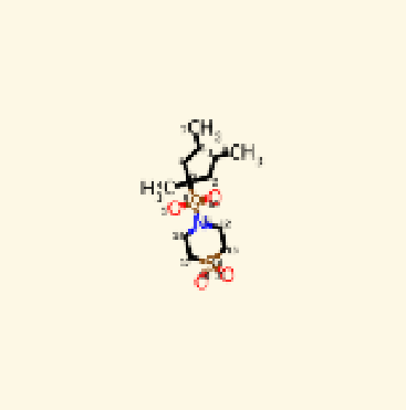 CCCC(C)(CCC)S(=O)(=O)N1CCS(=O)(=O)CC1